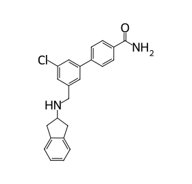 NC(=O)c1ccc(-c2cc(Cl)cc(CNC3Cc4ccccc4C3)c2)cc1